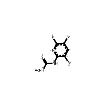 CC(=O)NC(=S)Nc1nc(F)c(Br)cc1Br